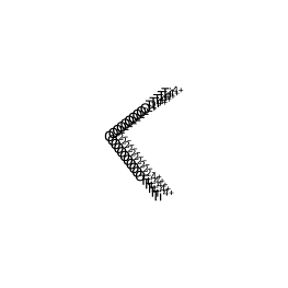 [O-2].[O-2].[O-2].[O-2].[O-2].[O-2].[O-2].[O-2].[O-2].[O-2].[O-2].[O-2].[O-2].[O-2].[O-2].[O-2].[O-2].[O-2].[O-2].[O-2].[Ti+4].[Ti+4].[Ti+4].[Ti+4].[Ti+4].[Ti+4].[Ti+4].[Ti+4].[Ti+4].[Ti+4]